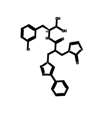 CCc1cccc(C[C@H](NC(=O)C(Cn2cc(-c3ccccc3)nn2)Cn2ccsc2=O)B(O)O)c1